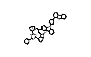 C/C=C(\C=C1\c2c(cccc2-c2nc(-c3ccccc3)nc(-c3ccccc3)n2)OC1C)c1ccc2c(c1)c1ccccc1n2-c1ccc(-c2cccc3c2oc2ccccc23)cc1